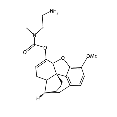 COc1ccc2c3c1OC1C(OC(=O)N(C)CCN)=CCC4[C@H](CCC[C@]314)C2